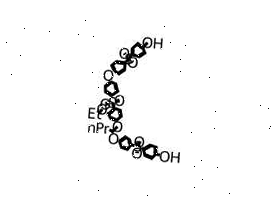 CCCC(Oc1ccc(S(=O)(=O)c2ccc(O)cc2)cc1)Oc1ccc(S(=O)(=O)c2ccc(Oc3ccc(S(=O)(=O)c4ccc(O)cc4)cc3)cc2)c(OCC)c1